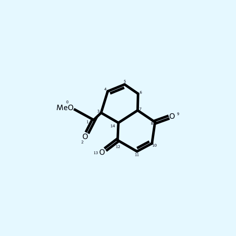 COC(=O)C1C=CCC2C(=O)C=CC(=O)C12